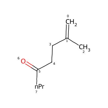 C=C(C)CCC(=O)CCC